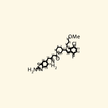 COCCCn1c(C2CCCN(C(=O)C[C@H](N)Cc3ccc4nc(N)sc4c3)C2)cc2c(F)ccc(Cl)c21